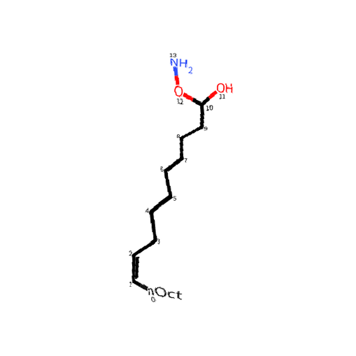 CCCCCCCC/C=C\CCCCCCCC(O)ON